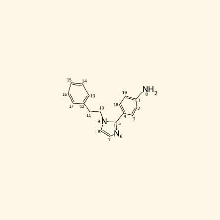 Nc1ccc(-c2nccn2CCc2ccccc2)cc1